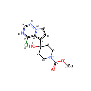 CC(C)(C)OC(=O)N1CCC(O)(c2ccn3ncnc(Cl)c23)CC1